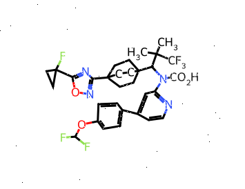 CC(C)(C(N(C(=O)O)c1cc(-c2ccc(OC(F)F)cc2)ccn1)C12CCC(c3noc(C4(F)CC4)n3)(CC1)CC2)C(F)(F)F